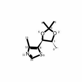 [CH2][C@H]1OC(C)(C)O[C@@H]1c1scnc1C